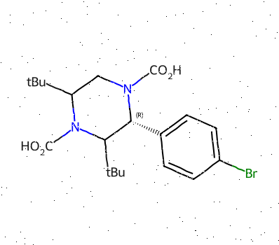 CC(C)(C)C1CN(C(=O)O)[C@H](c2ccc(Br)cc2)C(C(C)(C)C)N1C(=O)O